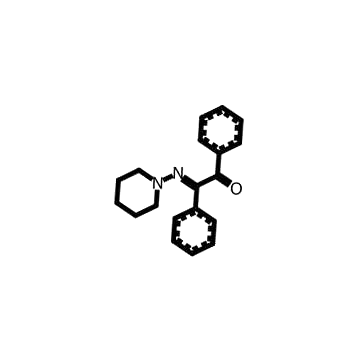 O=C(/C(=N/N1CCCCC1)c1ccccc1)c1ccccc1